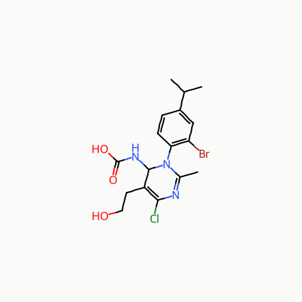 CC1=NC(Cl)=C(CCO)C(NC(=O)O)N1c1ccc(C(C)C)cc1Br